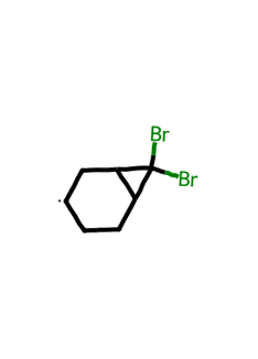 BrC1(Br)C2C[CH]CCC21